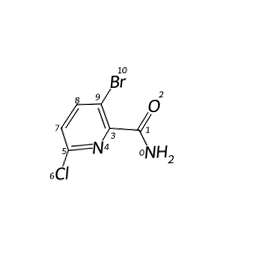 NC(=O)c1nc(Cl)ccc1Br